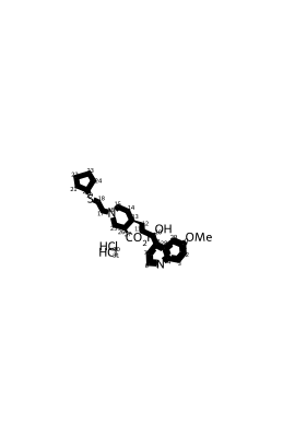 COc1ccc2nccc([C@@H](O)CC[C@@H]3CCN(CCSC4CCCC4)C[C@@H]3C(=O)O)c2c1.Cl.Cl